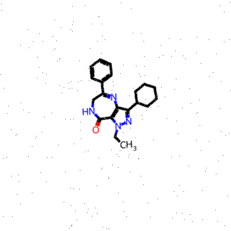 CCn1nc(C2CCCCC2)c2c1C(=O)NCC(c1ccccc1)=N2